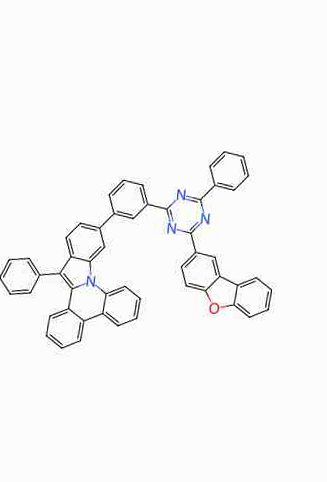 c1ccc(-c2nc(-c3cccc(-c4ccc5c(-c6ccccc6)c6c7ccccc7c7ccccc7n6c5c4)c3)nc(-c3ccc4oc5ccccc5c4c3)n2)cc1